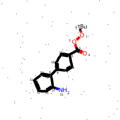 CC(C)(C)OOC(=O)c1ccc(-c2ccccc2N)cc1